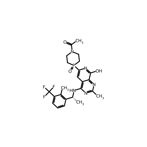 CC(=O)N1CCP(=O)(c2cc3c(N[C@H](C)c4cccc(C(F)(F)F)c4C)nc(C)nc3c(O)n2)CC1